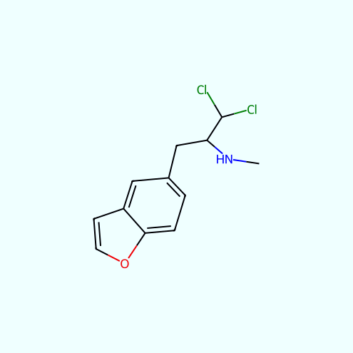 CNC(Cc1ccc2occc2c1)C(Cl)Cl